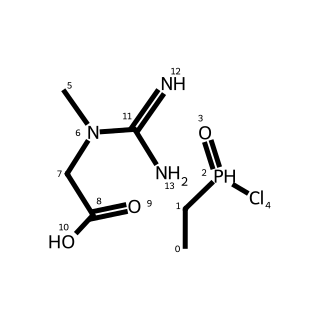 CC[PH](=O)Cl.CN(CC(=O)O)C(=N)N